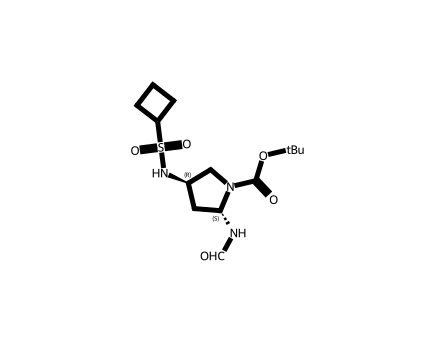 CC(C)(C)OC(=O)N1C[C@H](NS(=O)(=O)C2CCC2)C[C@H]1NC=O